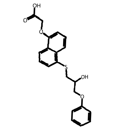 O=C(O)COc1cccc2c(SCC(O)COc3ccccc3)cccc12